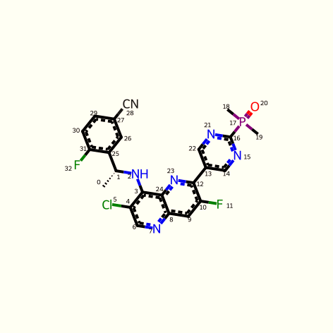 C[C@@H](Nc1c(Cl)cnc2cc(F)c(-c3cnc(P(C)(C)=O)nc3)nc12)c1cc(C#N)ccc1F